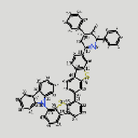 CC1C(c2ccccc2)N=C(c2ccc3c(c2)sc2cc(-c4cccc5c4sc4c(-n6c7ccccc7c7ccccc76)cccc45)ccc23)C[C@H]1c1ccccc1